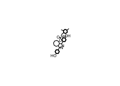 Cc1ccc(CNC(=O)OC2CCCCCC3C(c4ccc(O)cc4)=NN=C(c4ccc(O)cc4)C23)c(C)c1